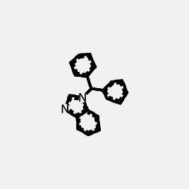 c1ccc(C(c2ccccc2)n2cnc3ccccc32)cc1